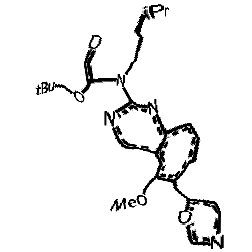 COc1c(-c2cnco2)ccc2nc(N(CCC(C)C)C(=O)OC(C)(C)C)ncc12